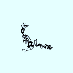 Cc1cc(Nc2nccn3c(-c4ccc(OC(F)F)cc4)cnc23)ccc1C(=O)NCCOCCN1CCC2(CCOCC2)C1